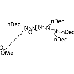 CCCCCCCCCCCCN(CCCCCCCCCCCC)CCN(CCCCCCCCCCCC)CCN1CCN(C(=O)CN(CCCCCCCCCCCC)CCCCCCCCCCCC(=O)OC)CC1